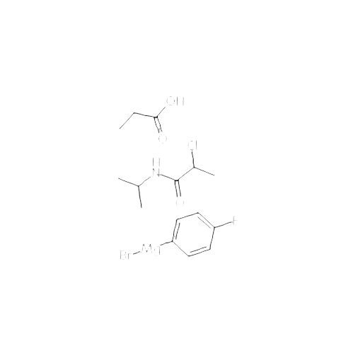 CC(C)NC(=O)C(C)Cl.CCC(=O)O.Fc1cc[c]([Mg][Br])cc1